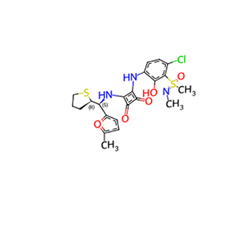 CN=S(C)(=O)c1c(Cl)ccc(Nc2c(N[C@@H](c3ccc(C)o3)[C@H]3CCCS3)c(=O)c2=O)c1O